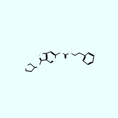 O=C(NCCc1ccccc1)Nc1cc2[nH]nc(OC3CCOC3)c2cn1